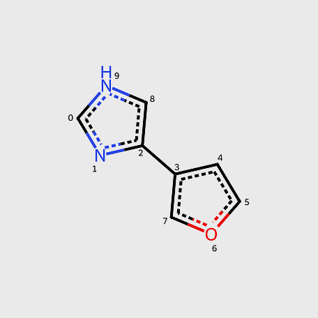 c1nc(-c2ccoc2)c[nH]1